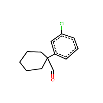 O=CC1(c2cccc(Cl)c2)CCCCC1